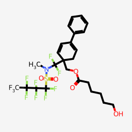 CN(C(F)(F)C1(COC(=O)CCCCCO)C=CC(c2ccccc2)=CC1)S(=O)(=O)C(F)(F)C(F)(F)C(F)(F)C(F)(F)F